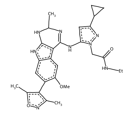 CCNC(=O)Cn1nc(C2CC2)cc1NC1=NC(C)Nc2[nH]c3cc(-c4c(C)noc4C)c(OC)cc3c21